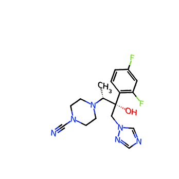 C[C@@H](N1CCN(C#N)CC1)[C@](O)(Cn1cncn1)c1ccc(F)cc1F